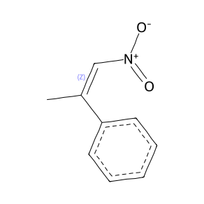 C/C(=C/[N+](=O)[O-])c1ccccc1